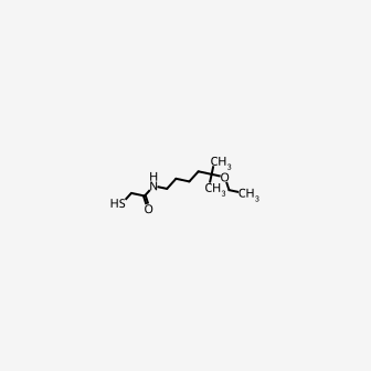 CCOC(C)(C)CCCCNC(=O)CS